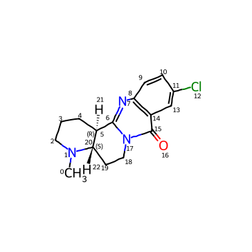 CN1CCC[C@H]2c3nc4ccc(Cl)cc4c(=O)n3CC[C@@H]21